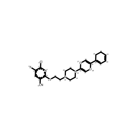 N#Cc1cc(F)c(Cl)nc1SCCN1CCN(C2=COC(C3=CC=CCC3)=CO2)CC1